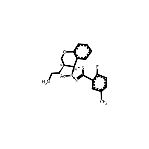 CC(=O)N1N=C(c2cc(C(F)(F)F)ccc2F)S[C@]12c1ccccc1OC[C@@H]2CCN